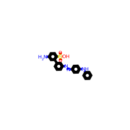 Nc1ccc(S(=O)(=O)O)c(-c2cccc(/N=N/c3ccc(Nc4ccccc4)cc3)c2)c1